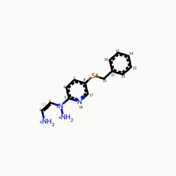 N/C=C\N(N)c1ccc(SCc2ccccc2)cn1